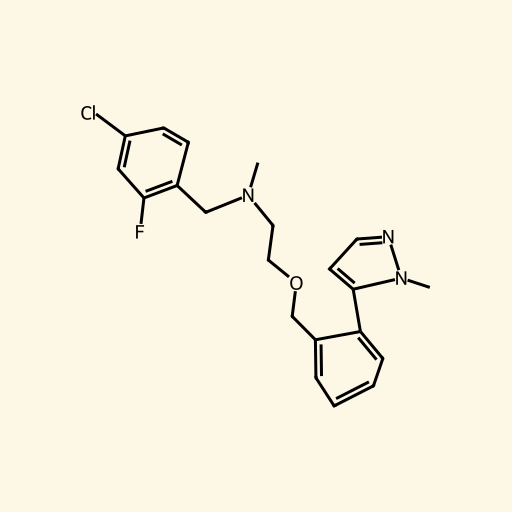 CN(CCOCc1ccccc1-c1ccnn1C)Cc1ccc(Cl)cc1F